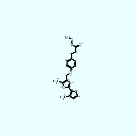 CCOOC(=O)CCc1ccc(OCc2nc(-c3sccc3C)oc2C)cc1